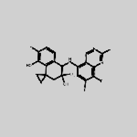 Cc1ncc2c(NC3c4ccc(F)c(O)c4C4(CC4)CC3(O)C(F)(F)F)cc(F)c(F)c2n1